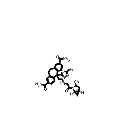 CC(C)c1nnc(C2(CCNCC(=O)N3C(C#N)C[C@@H]4C[C@@H]43)c3ccc(C(N)=O)cc3CCc3cc(C(N)=O)ccc32)o1